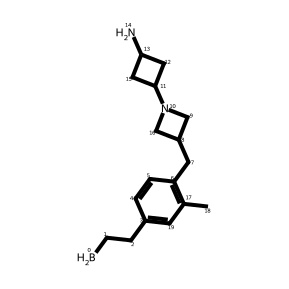 BCCc1ccc(CC2CN(C3CC(N)C3)C2)c(C)c1